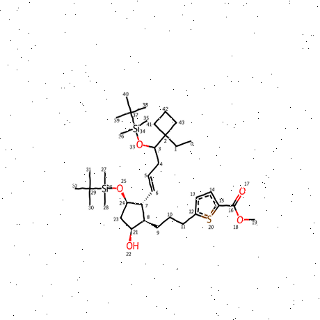 CCC1(C(C/C=C/[C@@H]2[C@@H](CCCc3ccc(C(=O)OC)s3)[C@@H](O)C[C@H]2O[Si](C)(C)C(C)(C)C)O[Si](C)(C)C(C)(C)C)CCC1